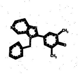 Cc1cc(-c2nc3ccncc3n2Cc2ccccc2)cn(C)c1=O